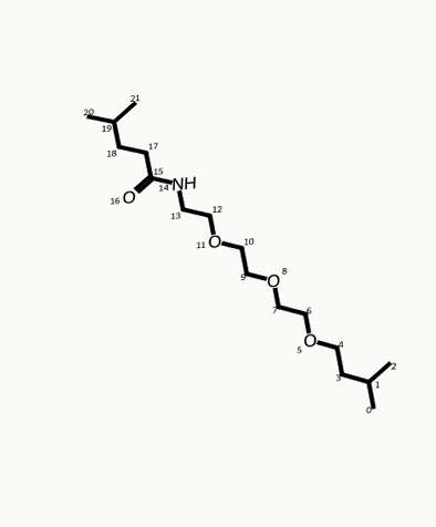 CC(C)CCOCCOCCOCCNC(=O)CCC(C)C